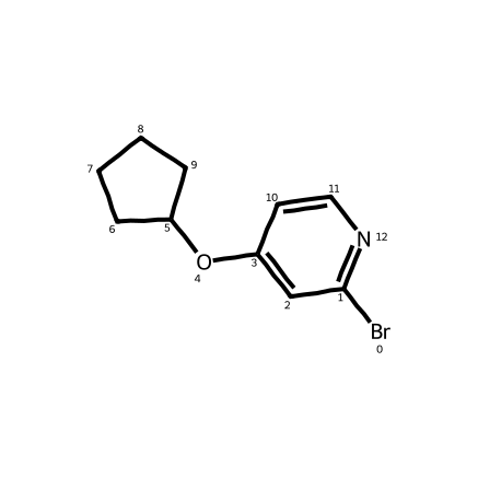 Brc1cc(OC2CCCC2)ccn1